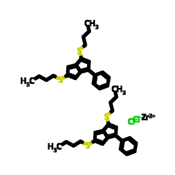 CCCCSC1=CC2=C(c3ccccc3)C=C(SCCCC)C2=C1.CCCCSC1=CC2=C(c3ccccc3)C=C(SCCCC)C2=C1.[Cl-].[Cl-].[Zr+2]